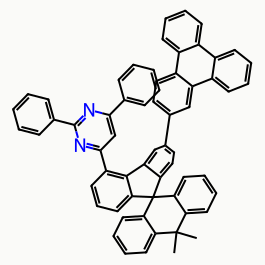 CC1(C)c2ccccc2C2(c3ccc(-c4ccc5c6ccccc6c6ccccc6c5c4)cc3-c3c(-c4cc(-c5ccccc5)nc(-c5ccccc5)n4)cccc32)c2ccccc21